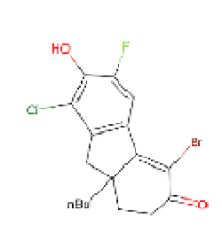 CCCCC12CCC(=O)C(Br)=C1c1cc(F)c(O)c(Cl)c1C2